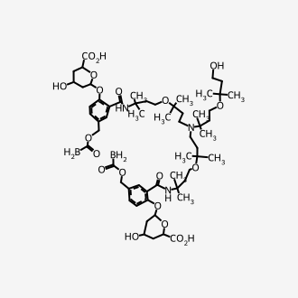 BC(=O)OCc1ccc(OC2CC(O)CC(C(=O)O)O2)c(C(=O)NC(C)(C)CCOC(C)(C)CCN(CCC(C)(C)OCCC(C)(C)NC(=O)c2cc(COC(B)=O)ccc2OC2CC(O)CC(C(=O)O)O2)C(C)(C)CCOC(C)(C)CCO)c1